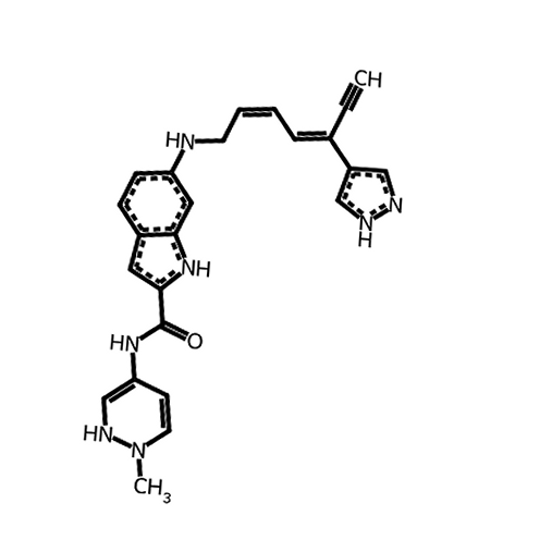 C#C/C(=C\C=C/CNc1ccc2cc(C(=O)NC3=CNN(C)C=C3)[nH]c2c1)c1cn[nH]c1